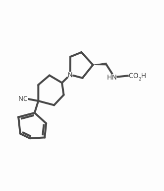 N#CC1(c2ccccc2)CCC(N2CC[C@@H](CNC(=O)O)C2)CC1